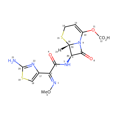 CON=C(C(=O)N[C@@H]1C(=O)N2C(OC(=O)O)=CCS[C@@H]12)c1csc(N)n1